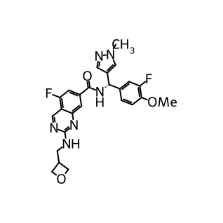 COc1ccc([C@H](NC(=O)c2cc(F)c3cnc(NCC4COC4)nc3c2)c2cnn(C)c2)cc1F